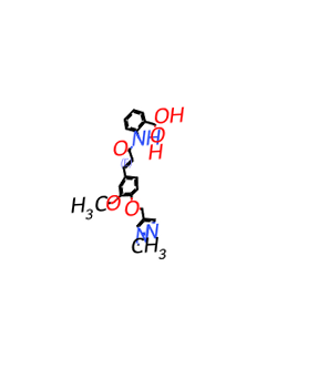 COc1cc(/C=C/C(=O)Nc2ccccc2C(O)O)ccc1OCc1cnn(C)c1